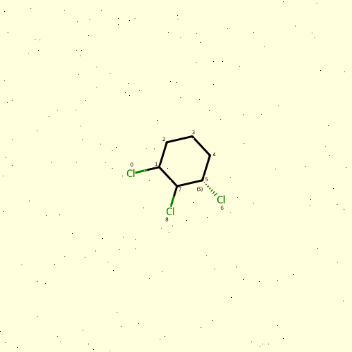 ClC1CCC[C@H](Cl)C1Cl